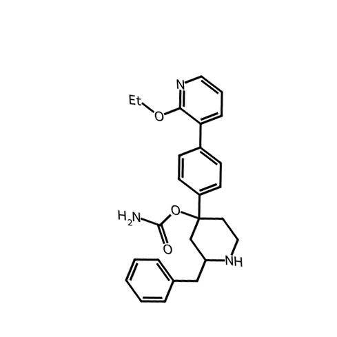 CCOc1ncccc1-c1ccc(C2(OC(N)=O)CCNC(Cc3ccccc3)C2)cc1